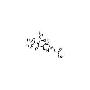 CC(C)N(C(=O)c1cc[n+](CCC(=O)O)nc1)C(C)C